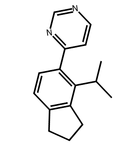 CC(C)c1c(-c2ccncn2)ccc2c1CCC2